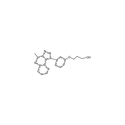 Cc1nc2cccnc2n2c(-c3cccc(OCCCO)c3)nnc12